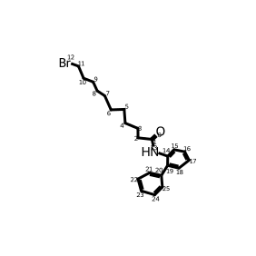 O=C(CCCCCCCCCCBr)Nc1ccccc1-c1ccccc1